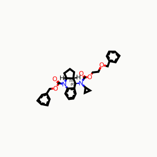 O=C(OCc1ccccc1)N1c2ccccc2[C@H](N(C(=O)OCCOCc2ccccc2)C2CC2)[C@H]2CCC[C@H]21